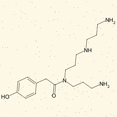 NCCCNCCCN(CCCN)C(=O)Cc1ccc(O)cc1